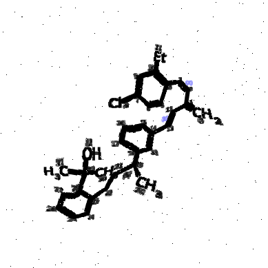 C=C(/C=C\c1ccc(Cl)cc1CC)/C=C/c1cccc([C@@H](C)CCc2ccccc2C(C)(C)O)c1